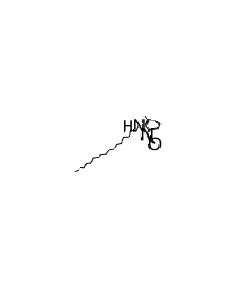 CCCCCCCCCCCCCCCCCCNc1c(C)cccc1N=C=O